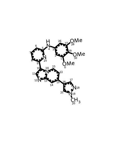 COc1cc(Nc2cccc(-c3cnc4cc(-c5cnn(C)c5)ccn34)n2)cc(OC)c1OC